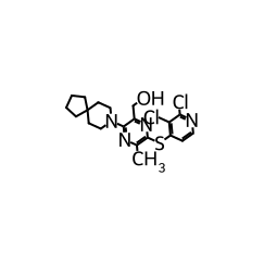 Cc1nc(N2CCC3(CCCC3)CC2)c(CO)nc1Sc1ccnc(Cl)c1Cl